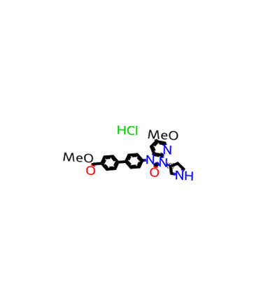 COC(=O)c1ccc(-c2ccc(-n3c(=O)n([C@H]4CCNC4)c4ncc(OC)cc43)cc2)cc1.Cl